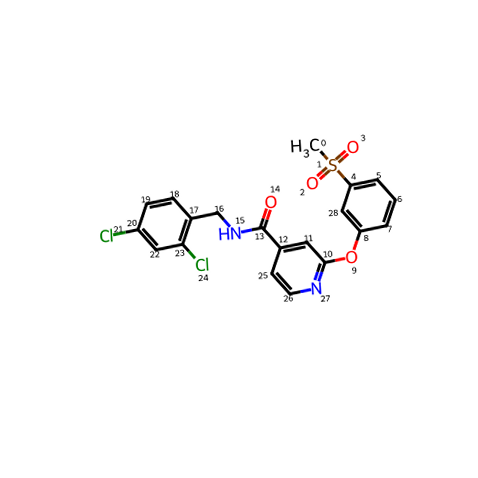 CS(=O)(=O)c1cccc(Oc2cc(C(=O)NCc3ccc(Cl)cc3Cl)ccn2)c1